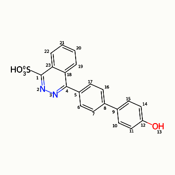 O=S(=O)(O)c1nnc(-c2ccc(-c3ccc(O)cc3)cc2)c2ccccc12